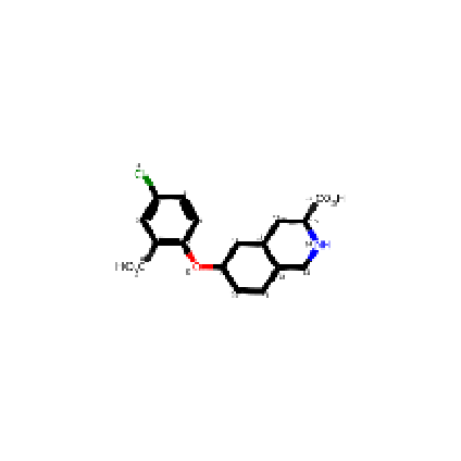 O=C(O)c1cc(Cl)ccc1OC1CCC2CNC(C(=O)O)CC2C1